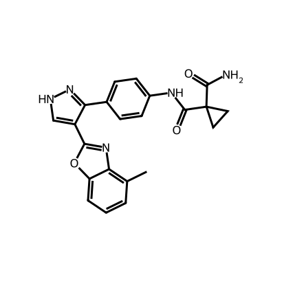 Cc1cccc2oc(-c3c[nH]nc3-c3ccc(NC(=O)C4(C(N)=O)CC4)cc3)nc12